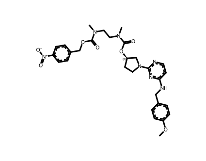 COc1ccc(CNc2ccnc(N3CC[C@@H](OC(=O)N(C)CCN(C)C(=O)OCc4ccc([N+](=O)[O-])cc4)C3)n2)cc1